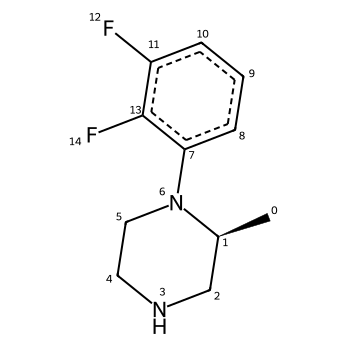 C[C@H]1CNCCN1c1cccc(F)c1F